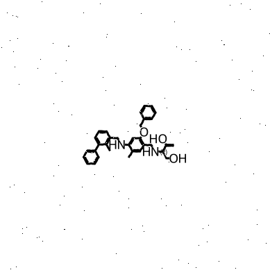 C=C(O)[C@@H](CO)NCc1cc(C)c(NCc2cccc(-c3ccccc3)c2C)cc1OCc1ccccc1